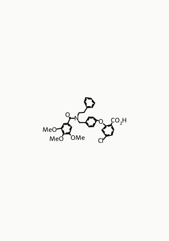 COc1cc(C(=O)N(CCc2ccccc2)Cc2ccc(Oc3cc(Cl)ccc3C(=O)O)cc2)cc(OC)c1OC